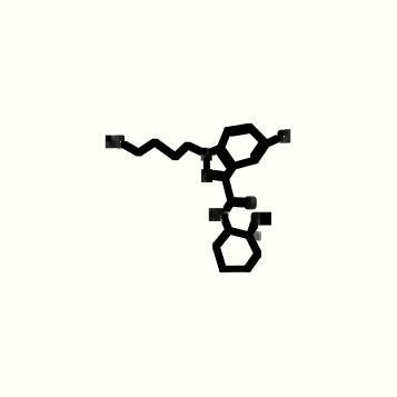 N#CCCCCn1nc(C(=O)NC2CCCC[C@@H]2O)c2cc(Cl)ccc21